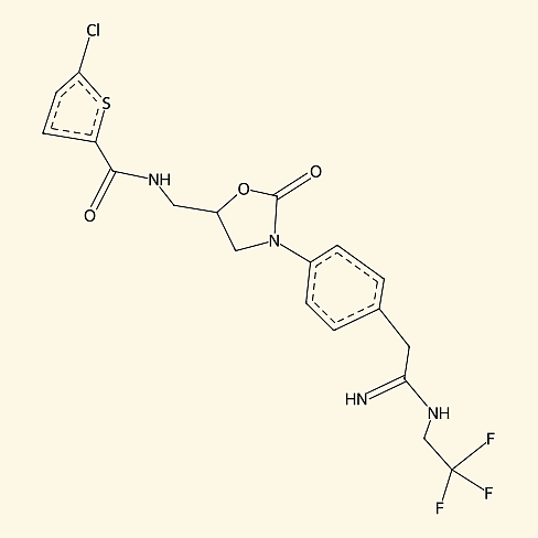 N=C(Cc1ccc(N2CC(CNC(=O)c3ccc(Cl)s3)OC2=O)cc1)NCC(F)(F)F